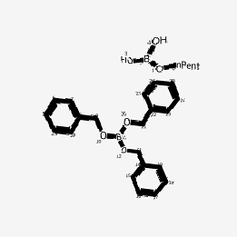 CCCCCOB(O)O.c1ccc(COB(OCc2ccccc2)OCc2ccccc2)cc1